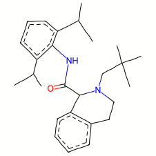 CC(C)c1cccc(C(C)C)c1NC(=O)C1c2ccccc2CCN1CC(C)(C)C